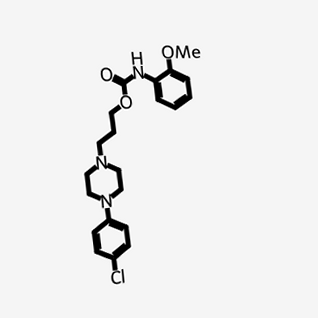 COc1ccccc1NC(=O)OCCCN1CCN(c2ccc(Cl)cc2)CC1